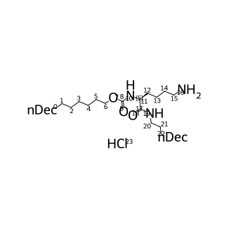 CCCCCCCCCCCCCCCCOC(=O)N[C@@H](CCCCN)C(=O)NCCCCCCCCCCCC.Cl